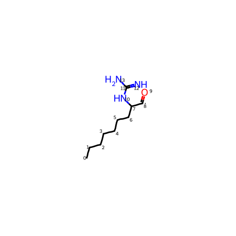 CCCCCCCC([C]=O)NC(=N)N